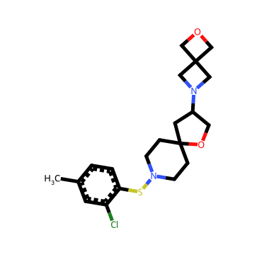 Cc1ccc(SN2CCC3(CC2)CC(N2CC4(COC4)C2)CO3)c(Cl)c1